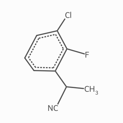 CC(C#N)c1cccc(Cl)c1F